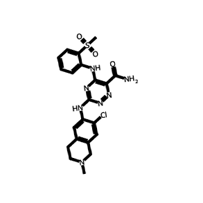 CN1CCc2cc(Nc3nnc(C(N)=O)c(Nc4ccccc4S(C)(=O)=O)n3)c(Cl)cc2C1